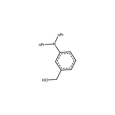 CCCN(CCC)c1cccc(CO)c1